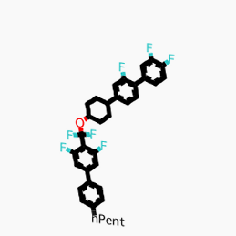 CCCCCc1ccc(-c2cc(F)c(C(F)(F)OC3CCC(c4ccc(-c5ccc(F)c(F)c5)c(F)c4)CC3)c(F)c2)cc1